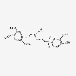 CCCCCc1cc(OC)c(OC)cc1CCN(C)CCCC(C#N)(c1ccc(OC)c(OC)c1)C(C)C